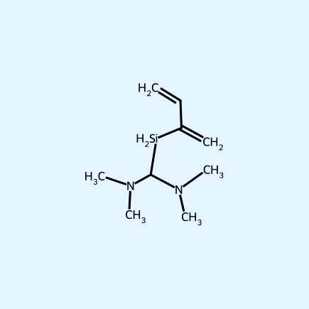 C=CC(=C)[SiH2]C(N(C)C)N(C)C